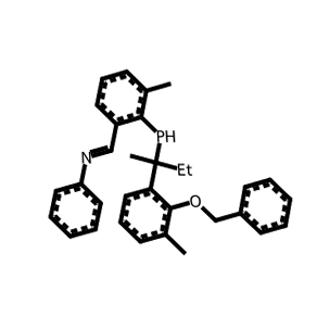 CCC(C)(Pc1c(C)cccc1/C=N/c1ccccc1)c1cccc(C)c1OCc1ccccc1